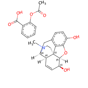 CC(=O)Oc1ccccc1C(=O)O.CN1CC[C@]23c4c5ccc(O)c4O[C@H]2[C@@H](O)C=C[C@H]3[C@H]1C5